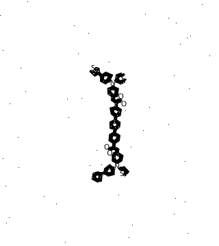 O=c1oc2cc(N(c3ccccc3)c3ccc(-c4ccsc4)cc3)ccc2cc1-c1ccc(-c2ccc(-c3ccc(-c4cc5ccc(N(c6ccc(-c7ccccc7)cc6)c6cccs6)cc5oc4=O)cc3)cc2)cc1